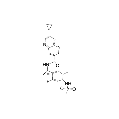 Cc1cc([C@@H](C)NC(=O)c2cnc3cc(C4CC4)cnc3c2)c(F)cc1NS(C)(=O)=O